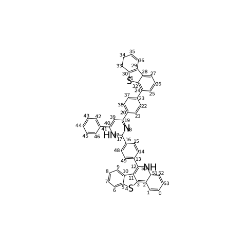 C1=CC2=c3sc4ccccc4c3=C(c3ccc(C4N=C(c5ccc(-c6cccc7c8c(sc67)CCC=C8)cc5)C=C(c5ccccc5)N4)cc3)NC2C=C1